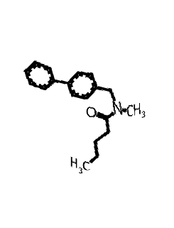 CCCCC(=O)N(C)Cc1ccc(-c2ccccc2)cc1